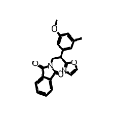 COc1cc(C)cc(C(CN2C(=O)c3ccccc3C2=O)c2ncco2)c1